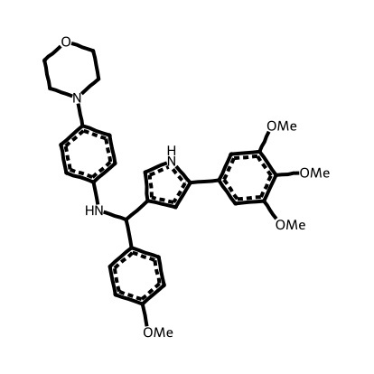 COc1ccc(C(Nc2ccc(N3CCOCC3)cc2)c2c[nH]c(-c3cc(OC)c(OC)c(OC)c3)c2)cc1